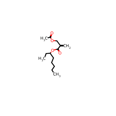 C=C(COC(C)=O)C(=O)OC(CC)CCCCC